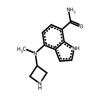 CN(c1ccc(C(N)=O)c2[nH]ccc12)C1CNC1